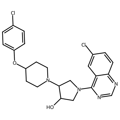 OC1CN(c2ncnc3ccc(Cl)cc23)CC1N1CCC(Oc2ccc(Cl)cc2)CC1